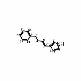 C(=C\c1c[nH]cn1)/CCc1ccccc1